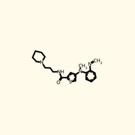 C=Nc1ccccc1N(C)c1csc(C(=O)NCCCN2CCCCC2)c1